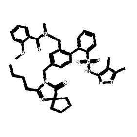 CCCCC1=NC2(CCCC2)C(=O)N1Cc1ccc(-c2ccccc2S(=O)(=O)Nc2onc(C)c2C)c(CN(C)C(=O)c2ccccc2OC)c1